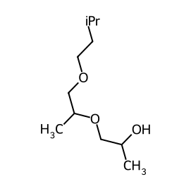 CC(C)CCOCC(C)OCC(C)O